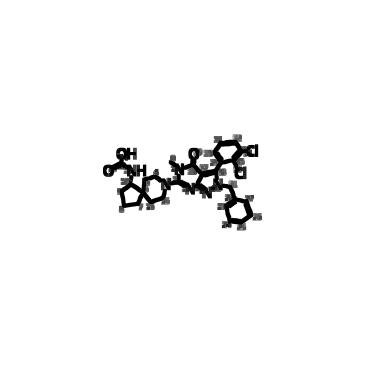 Cn1c(N2CCC3(CCC[C@H]3NC(=O)O)CC2)nc2nn(Cc3ccccc3)c(-c3cccc(Cl)c3Cl)c2c1=O